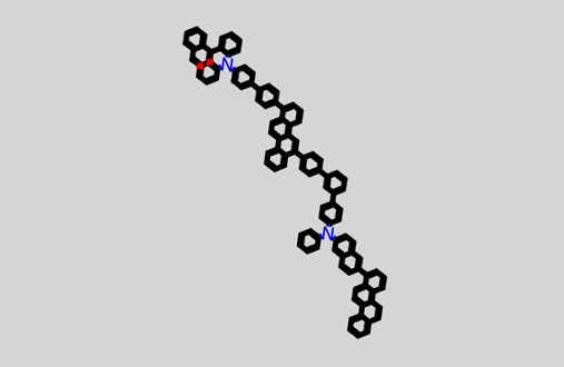 c1ccc(N(c2ccc(-c3cccc(-c4ccc(-c5cc6c7cccc(-c8ccc(-c9ccc(N(c%10ccccc%10)c%10ccccc%10-c%10cccc%11ccccc%10%11)cc9)cc8)c7ccc6c6ccccc56)cc4)c3)cc2)c2ccc3cc(-c4cccc5c4ccc4c6ccccc6ccc54)ccc3c2)cc1